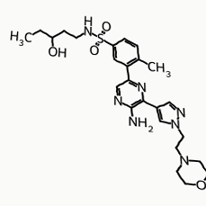 CCC(O)CCNS(=O)(=O)c1ccc(C)c(-c2cnc(N)c(-c3cnn(CCN4CCOCC4)c3)n2)c1